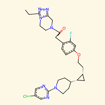 CCc1nnc2n1CCN(C(=O)Cc1ccc(OCC[C@@H]3C[C@@H]3C3CCN(c4ncc(Cl)cn4)CC3)cc1F)C2